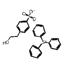 O=S(=O)([O-])c1ccc(CCO)cc1.c1ccc([S+](c2ccccc2)c2ccccc2)cc1